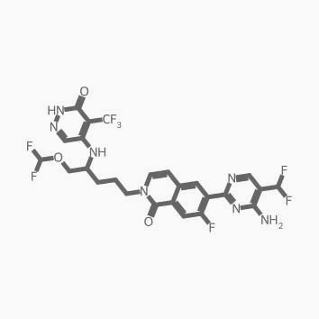 Nc1nc(-c2cc3ccn(CCCC(COC(F)F)Nc4cn[nH]c(=O)c4C(F)(F)F)c(=O)c3cc2F)ncc1C(F)F